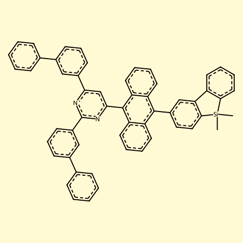 C[Si]1(C)c2ccccc2-c2cc(-c3c4ccccc4c(-c4cc(-c5cccc(-c6ccccc6)c5)nc(-c5cccc(-c6ccccc6)c5)n4)c4ccccc34)ccc21